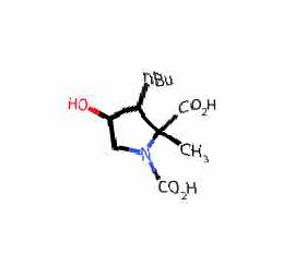 CCCCC1C(O)CN(C(=O)O)C1(C)C(=O)O